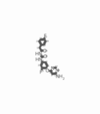 Nc1cc(Oc2ccc(NC(=O)NC(=O)Cc3ccc(F)cc3)cc2F)ncn1